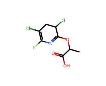 CC(OC1=NC(F)=C(Cl)CC1Cl)C(=O)O